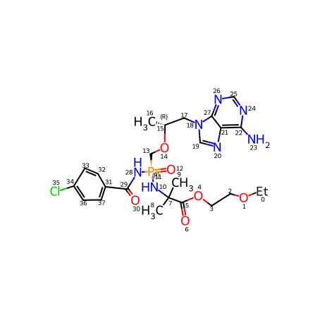 CCOCCOC(=O)C(C)(C)N[P@](=O)(CO[C@H](C)Cn1cnc2c(N)ncnc21)NC(=O)c1ccc(Cl)cc1